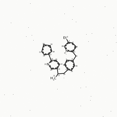 CCc1ccc(Cc2ccc(CC(C)c3ccc(-c4ccccc4)nc3)cc2)nc1